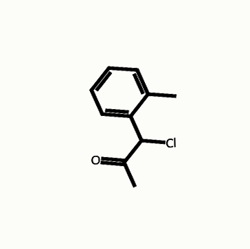 CC(=O)C(Cl)c1ccccc1C